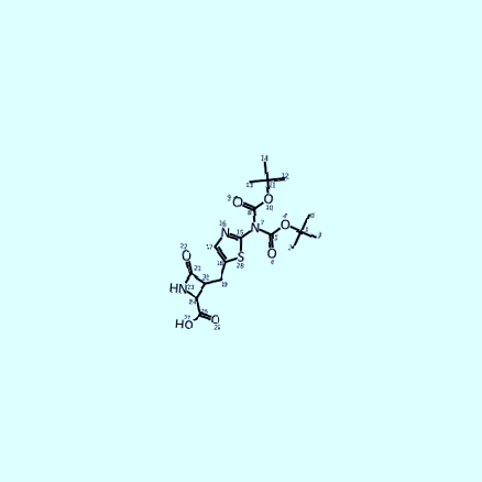 CC(C)(C)OC(=O)N(C(=O)OC(C)(C)C)c1ncc(CC2C(=O)NC2C(=O)O)s1